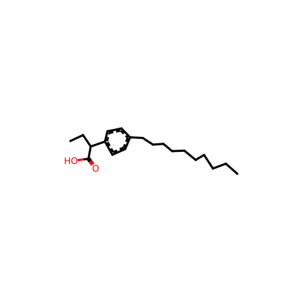 CCCCCCCCCCc1ccc(C(CC)C(=O)O)cc1